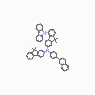 CC1(C)c2ccccc2-c2ccc(N(c3ccc(-c4ccc5ccccc5c4)cc3)c3ccc4c(c3)C(C)(C)c3cccc(-n5c6ccccc6c6ccccc65)c3-4)cc21